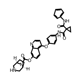 O=C(Oc1ccc2c(Oc3ccc(NC(=O)C4(C(=O)Nc5ccccc5)CC4)cc3)ccnc2c1)N1[C@@H]2CC[C@H]1CNC2